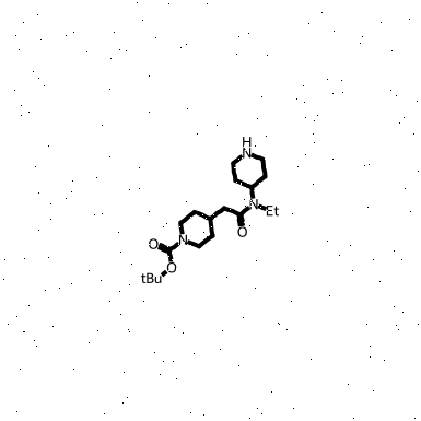 CCN(C(=O)CC1CCN(C(=O)OC(C)(C)C)CC1)C1CCNCC1